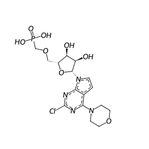 O=P(O)(O)COC[C@H]1O[C@@H](n2ccc3c(N4CCOCC4)nc(Cl)nc32)[C@H](O)[C@@H]1O